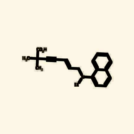 CCN(CC=CC#CC(C)(C)C(=O)O)c1cccc2ccccc12